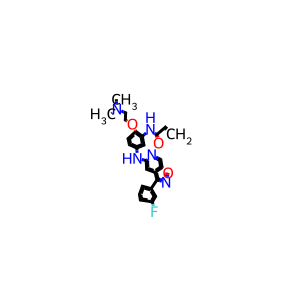 C=CC(=O)Nc1cc(Nc2cc3c(-c4cccc(F)c4)noc3cn2)ccc1OCCN(C)C